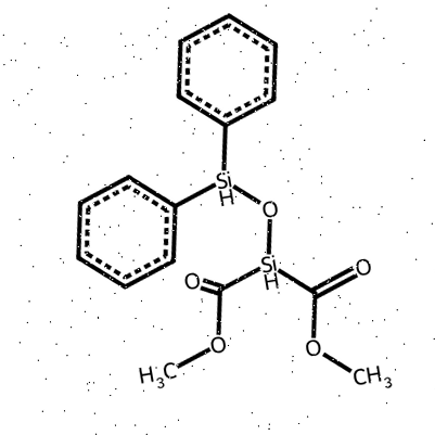 COC(=O)[SiH](O[SiH](c1ccccc1)c1ccccc1)C(=O)OC